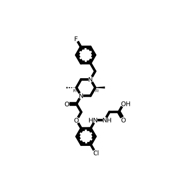 C[C@@H]1CN(Cc2ccc(F)cc2)[C@@H](C)CN1C(=O)COc1ccc(Cl)cc1NNCC(=O)O